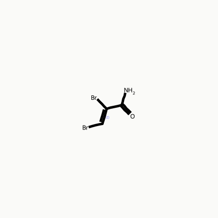 NC(=O)/C(Br)=C/Br